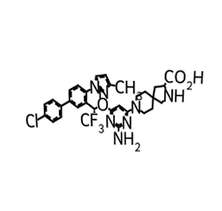 Cc1ccn(-c2ccc(-c3ccc(Cl)cc3)cc2[C@@H](Oc2cc(N3CCC4(CC3)CNC(C(=O)O)C4)nc(N)n2)C(F)(F)F)n1